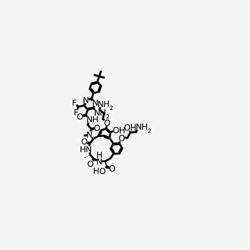 C[C@@H]1NC(=O)[C@@H](N(C)C(=O)CNC(=O)c2c(N)nc(-c3ccc(C(C)(C)C)cc3)nc2C(F)F)c2cc(OCCCN)c(O)c(c2)-c2cc(ccc2OC[C@H](O)CN)C[C@@H](C(=O)O)NC1=O